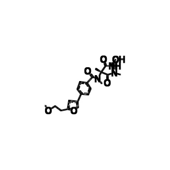 CNC(=O)[C@@](C)(C(=O)NO)N(C)C(=O)c1ccc(-c2coc(CCOC)c2)cc1